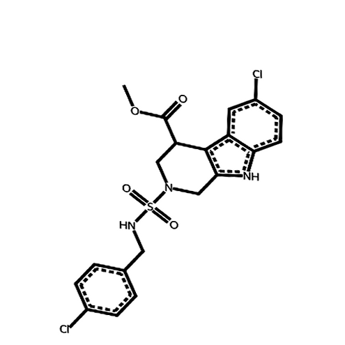 COC(=O)C1CN(S(=O)(=O)NCc2ccc(Cl)cc2)Cc2[nH]c3ccc(Cl)cc3c21